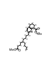 COC(=O)CCCN(CCCF)CCCCc1ccc2c(n1)N(C(=O)OC(C)(C)C)CCC2